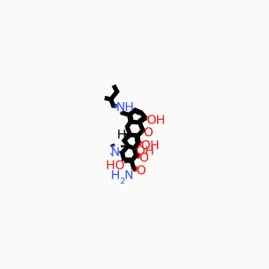 CCC(C)CNCc1ccc(O)c2c1C[C@H]1C[C@@]3(C)[C@H](N(C)C)C(O)=C(C(N)=O)C(=O)[C@@]3(O)C(O)=C1C2=O